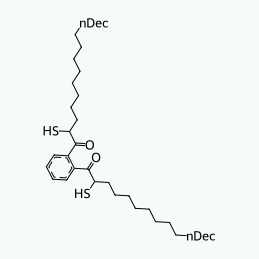 CCCCCCCCCCCCCCCCCCC(S)C(=O)c1ccccc1C(=O)C(S)CCCCCCCCCCCCCCCCCC